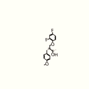 COc1ccc(C[C@H](COc2ccc(F)cc2F)[C@H](C)O)cc1